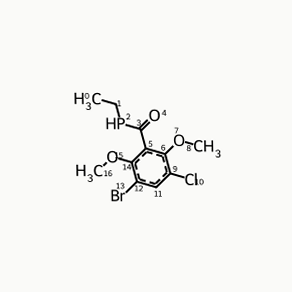 CCPC(=O)c1c(OC)c(Cl)cc(Br)c1OC